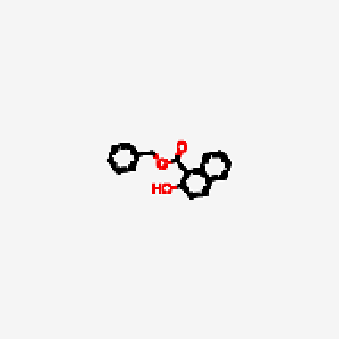 O=C(OCc1ccccc1)c1c(O)ccc2ccccc12